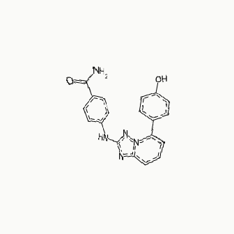 NC(=O)c1ccc(Nc2nc3cccc(-c4ccc(O)cc4)n3n2)cc1